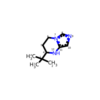 CC(C)(C)C1CCn2cncc2N1